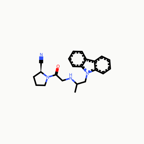 CC(Cn1c2ccccc2c2ccccc21)NCC(=O)N1CCC[C@H]1C#N